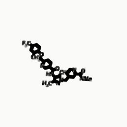 CNC(=O)c1cc(Cn2nc(C)c(NC(=O)c3ccc(COc4ccc(C(F)(F)F)cc4C)nc3)c2C)ccn1